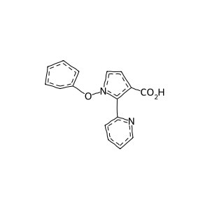 O=C(O)c1ccn(Oc2ccccc2)c1-c1ccccn1